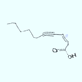 CCCCCC#C/C=C\C(=O)O